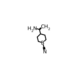 C=C(N)C1CCB(C#N)CC1